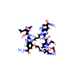 CCc1nc(C)oc1C(=O)Nc1nc2cc(C(N)=O)cc(OCCCN3CC4(CNCCO4)C3)c2n1C/C=C/Cn1c(NC(=O)c2cc(C)nn2CC)nc2cc(C(N)=O)cnc21